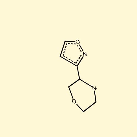 c1cc(C2COCC[N]2)no1